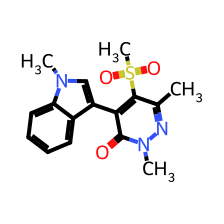 Cc1nn(C)c(=O)c(-c2cn(C)c3ccccc23)c1S(C)(=O)=O